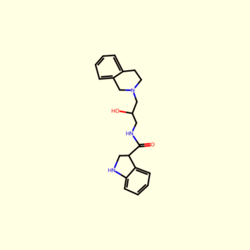 O=C(NCC(O)CN1CCc2ccccc2C1)C1CNc2ccccc21